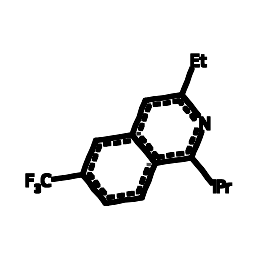 CCc1cc2cc(C(F)(F)F)ccc2c(C(C)C)n1